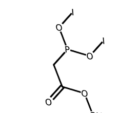 O=C(CP(OI)OI)OO